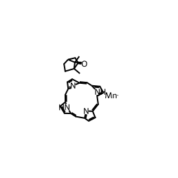 C1=Cc2cc3ccc(cc4nc(cc5ccc(cc1n2)[nH]5)C=C4)[nH]3.CC12CCC(CC1=O)C2(C)C.[Mn]